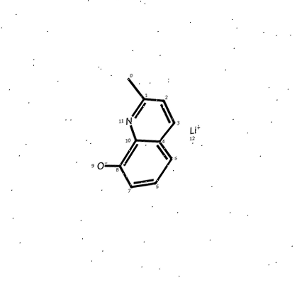 Cc1ccc2cccc([O-])c2n1.[Li+]